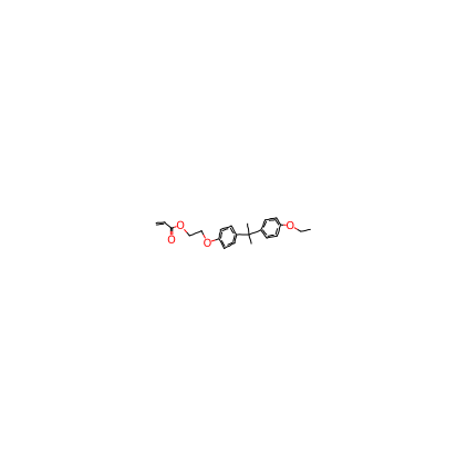 C=CC(=O)OCCOc1ccc(C(C)(C)c2ccc(OCC)cc2)cc1